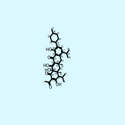 CC(=O)C1=C(O)C(C(C)C)[C@@]2(C)C[C@@]3(C)Cc4c(C(C)C)cc(C5CCC(C)CC5)c(O)c4C(=O)C3=C(O)[C@@]2(O)C1=O